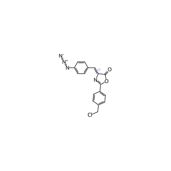 [N-]=[N+]=Nc1ccc(/C=C2\N=C(c3ccc(CCl)cc3)OC2=O)cc1